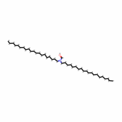 CCCCCCCCCCCCCCCCCCCCN([C]=O)CCCCCCCCCCCCCCCCCCCC